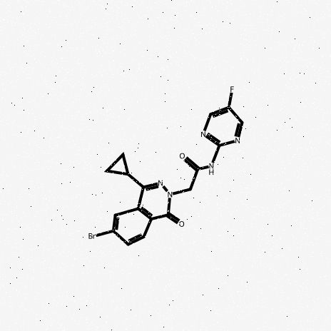 O=C(Cn1nc(C2CC2)c2cc(Br)ccc2c1=O)Nc1ncc(F)cn1